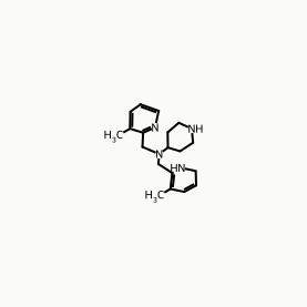 CC1=C(CN(Cc2ncccc2C)C2CCNCC2)NCC=C1